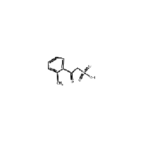 Cc1ccccc1C(=O)CS(=O)(=O)O